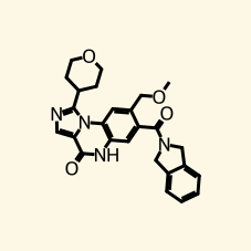 COCc1cc2c(cc1C(=O)N1Cc3ccccc3C1)[nH]c(=O)c1cnc(C3CCOCC3)n12